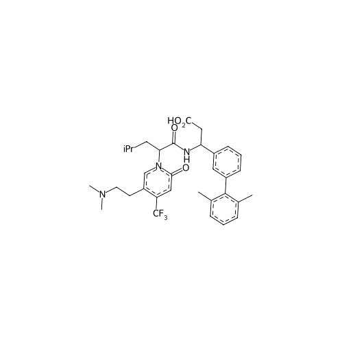 Cc1cccc(C)c1-c1cccc(C(CC(=O)O)NC(=O)C(CC(C)C)n2cc(CCN(C)C)c(C(F)(F)F)cc2=O)c1